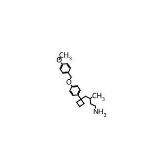 COc1ccc(COc2ccc(C3(CC(C)CCN)CCC3)cc2)cc1